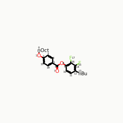 CCCCCCCCOc1ccc(C(=O)Oc2ccc(CCCC)c(F)c2F)cc1